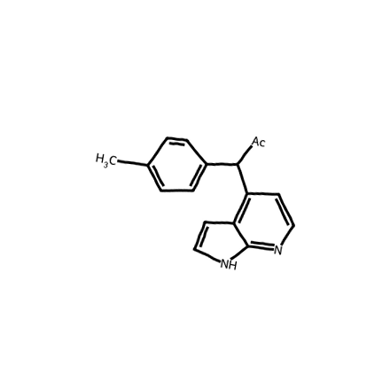 CC(=O)C(c1ccc(C)cc1)c1ccnc2[nH]ccc12